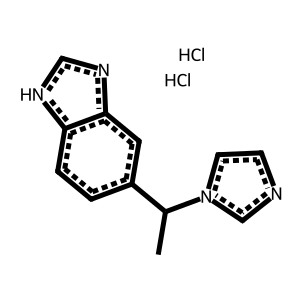 CC(c1ccc2[nH]cnc2c1)n1ccnc1.Cl.Cl